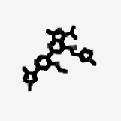 CCOc1cc(-c2cn(C)nc2C)ncc1-c1cc(NCc2cnn(C)c2)c2c(n1)c(C)nn2C(C)C